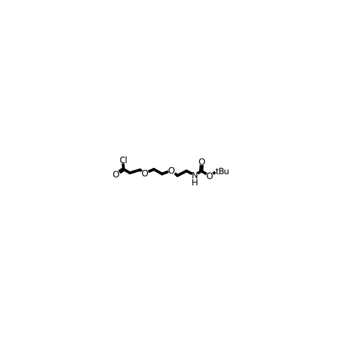 CC(C)(C)OC(=O)NCCOCCOCCC(=O)Cl